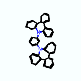 C1=CC2=C(CC1)N(c1cccc(N3c4ccccc4-c4ccccc4-c4ccccc43)c1)c1ccccc1-c1ccccc12